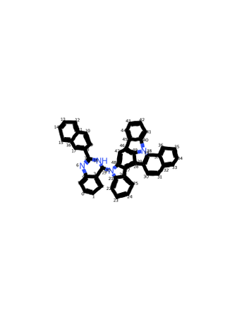 c1ccc2c(c1)N=C(c1ccc3ccccc3c1)NC2n1c2ccccc2c2c3c4ccc5ccccc5c4n4c5ccccc5c(cc21)c34